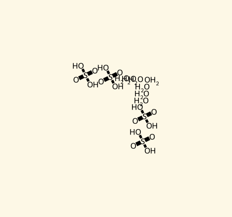 O.O.O.O.O.O.O.O=S(=O)(O)O.O=S(=O)(O)O.O=S(=O)(O)O.O=S(=O)(O)O